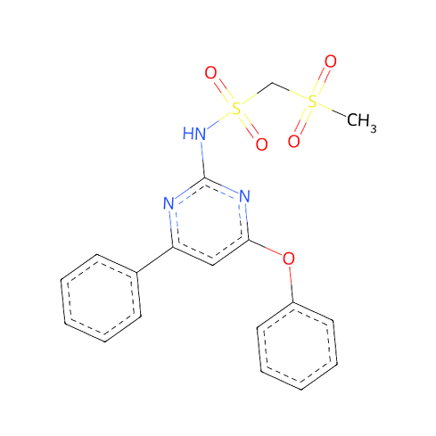 CS(=O)(=O)CS(=O)(=O)Nc1nc(Oc2ccccc2)cc(-c2ccccc2)n1